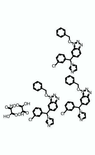 Clc1cccc(C(c2ccc3nnn(OCc4ccccc4)c3c2)n2ccnc2)c1.Clc1cccc(C(c2ccc3nnn(OCc4ccccc4)c3c2)n2ccnc2)c1.Clc1cccc(C(c2ccc3nnn(OCc4ccccc4)c3c2)n2ccnc2)c1.O=C(O)C(=O)O.O=C(O)C(=O)O